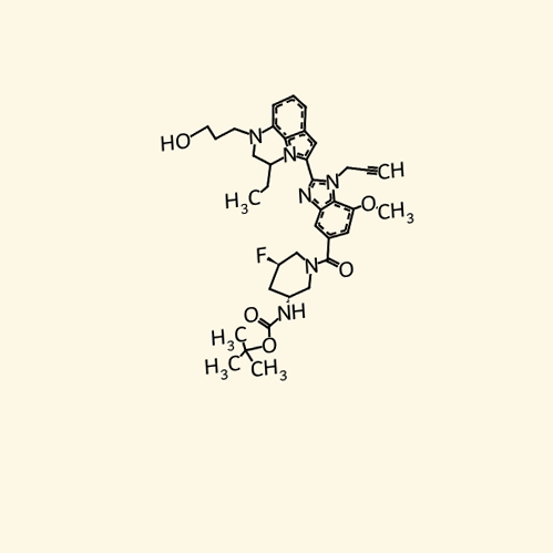 C#CCn1c(-c2cc3cccc4c3n2C(CC)CN4CCCO)nc2cc(C(=O)N3C[C@H](F)C[C@@H](NC(=O)OC(C)(C)C)C3)cc(OC)c21